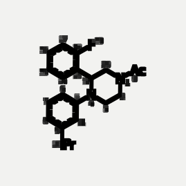 CC(=O)N1CCN(c2cccc(C(C)C)c2)C(c2ccccc2F)C1